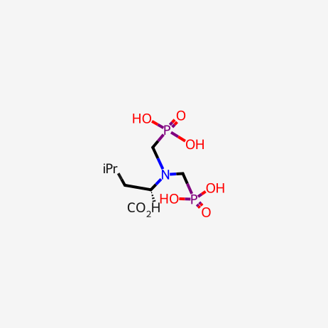 CC(C)C[C@@H](C(=O)O)N(CP(=O)(O)O)CP(=O)(O)O